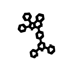 c1ccc(-c2sc3c(-c4ccc(-c5cc(-c6ccccn6)nc(-c6ccccn6)c5)cc4)nc4ccccc4c3c2-c2ccccc2)cc1